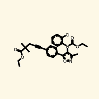 CCOC(=O)N(c1ccccc1Cl)c1c(C)noc1-c1ccc(C#CCC(C)(C)C(=O)OCC)cc1